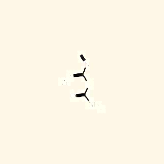 C=NC(=S)SC(N)=O.[Zn]